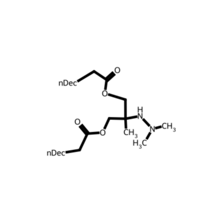 CCCCCCCCCCCC(=O)OCC(C)(COC(=O)CCCCCCCCCCC)NN(C)C